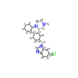 CN1CCN(c2ccccc2-c2ccc(Cn3cnc4ccc(Cl)cc43)cc2)CC1